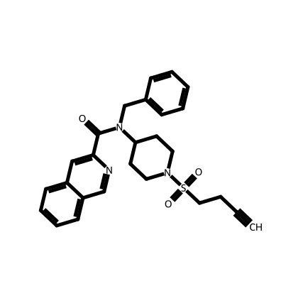 C#CCCS(=O)(=O)N1CCC(N(Cc2ccccc2)C(=O)c2cc3ccccc3cn2)CC1